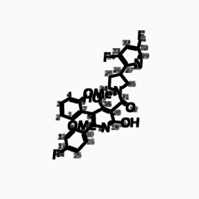 COc1cccc(OC)c1-c1c(-c2ccc(F)cc2)nc(O)c(C(=O)N2CCC(c3ncc(F)cc3F)C2)c1O